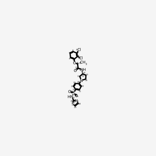 C[C@@H](Oc1cccc(Cl)c1Cl)C(=O)N[C@H]1CCN(c2ccc(S(=O)(=O)Nc3nccs3)cc2)C1